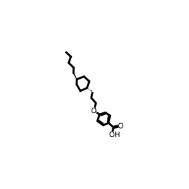 CCCCC[C@H]1CC[C@H](CCCOc2ccc(C(=O)O)cc2)CC1